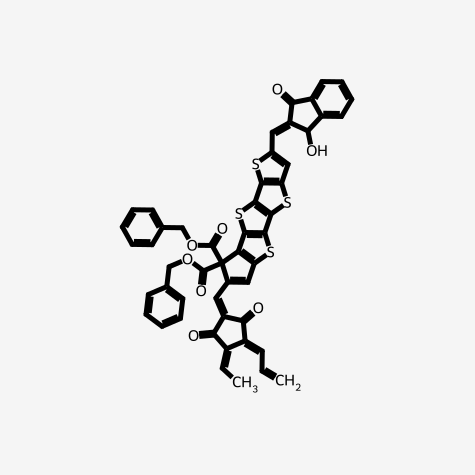 C=C/C=C1/C(=O)/C(=C\C2=Cc3sc4c(sc5c6sc(/C=C7/C(=O)c8ccccc8C7O)cc6sc45)c3C2(C(=O)OCc2ccccc2)C(=O)OCc2ccccc2)C(=O)/C1=C/C